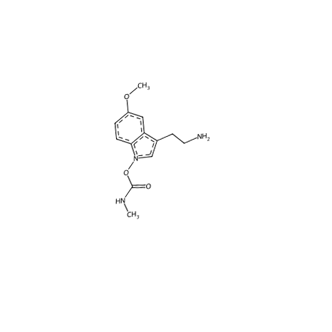 CNC(=O)On1cc(CCN)c2cc(OC)ccc21